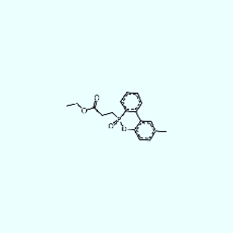 CCOC(=O)CCP1(=O)Oc2ccc(C)cc2-c2ccccc21